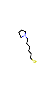 SCCCCCCN1CCCC1